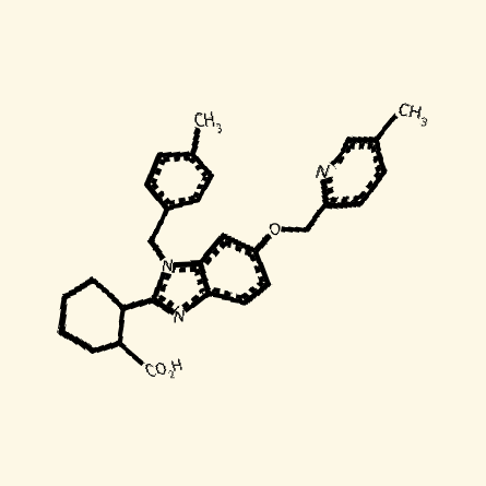 Cc1ccc(Cn2c(C3CCCCC3C(=O)O)nc3ccc(OCc4ccc(C)cn4)cc32)cc1